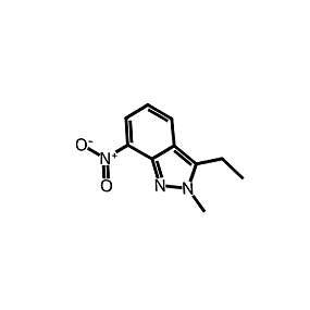 CCc1c2cccc([N+](=O)[O-])c2nn1C